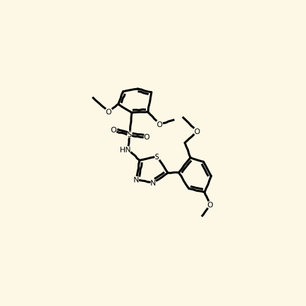 COCc1ccc(OC)cc1-c1nnc(NS(=O)(=O)c2c(OC)cccc2OC)s1